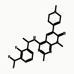 Cc1nc(NC(C)c2cccc(C(F)F)c2F)c2cc(C3=CCN(C)CC3)c(=O)n(C)c2n1